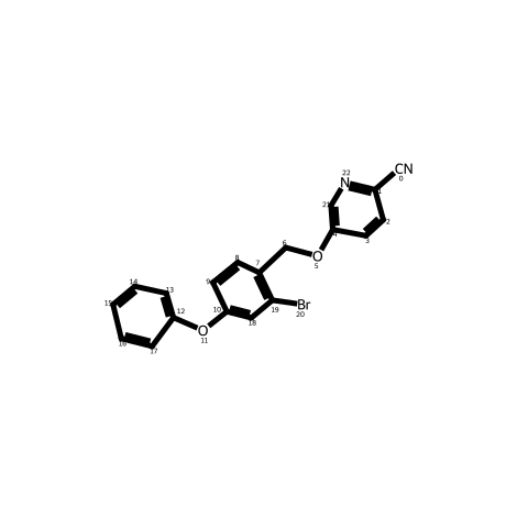 N#Cc1ccc(OCc2ccc(Oc3ccccc3)cc2Br)cn1